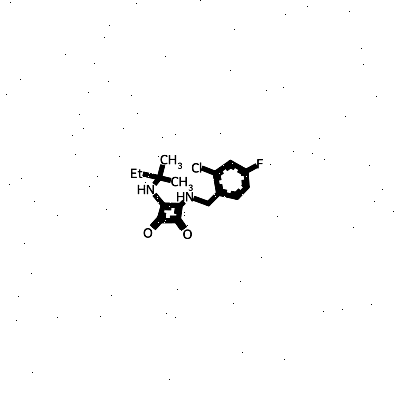 CCC(C)(C)Nc1c(NCc2ccc(F)cc2Cl)c(=O)c1=O